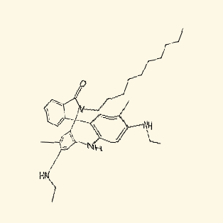 CCCCCCCCCCN1C(=O)c2ccccc2C12c1cc(C)c(NCC)cc1Nc1cc(NCC)c(C)cc12